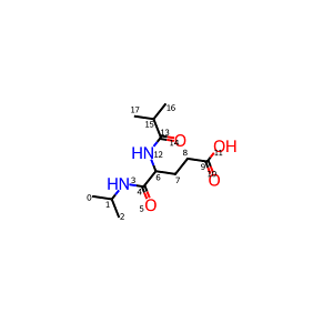 CC(C)NC(=O)C(CCC(=O)O)NC(=O)C(C)C